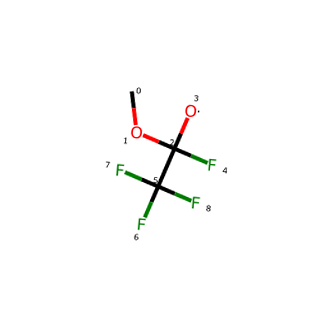 COC([O])(F)C(F)(F)F